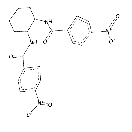 O=C(NC1CCCCC1NC(=O)c1ccc([N+](=O)[O-])cc1)c1ccc([N+](=O)[O-])cc1